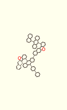 C1=CC2=Cc3oc4cccc(-c5c6ccccc6c(-c6ccc(-c7ccccc7)cc6)c6ccc(-c7ccc8cc9c(cc8c7)oc7cccc(-c8c%10ccccc%10c(-c%10cccc%11ccccc%10%11)c%10ccccc8%10)c79)cc56)c4c3CC2C=C1